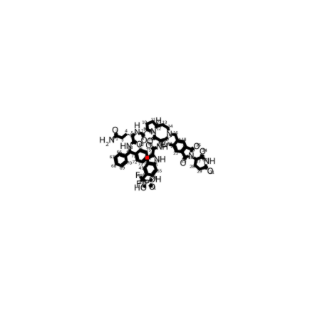 NC(=O)CC[C@H](NC(=O)[C@@H]1CC[C@@H]2CCN(Cc3cc4c(cc3Br)C(=O)N(C3CCC(=O)NC3=O)C4=O)C[C@H](NC(=O)c3cc4cc(C(F)(F)P(=O)(O)O)ccc4[nH]3)C(=O)N21)C(=O)NC(c1ccccc1)c1ccccc1